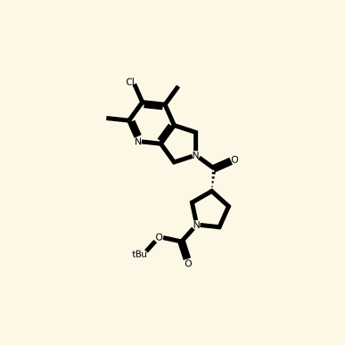 Cc1nc2c(c(C)c1Cl)CN(C(=O)[C@@H]1CCN(C(=O)OC(C)(C)C)C1)C2